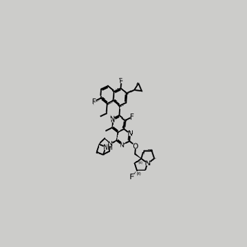 CCc1c(F)ccc2c(F)c(C3CC3)cc(-c3nc(C)c4c(N5CC6CC(C5)N6)nc(OC[C@@]56CCCN5C[C@H](F)C6)nc4c3F)c12